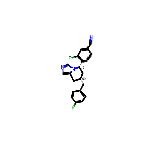 N#Cc1ccc([C@@H]2C[C@H](Cc3ccc(F)cc3)Cc3cncn32)c(F)c1